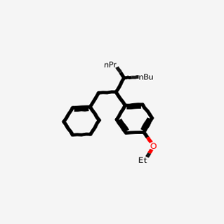 CCCCC(CCC)C(CC1=CCCCC1)c1ccc(OCC)cc1